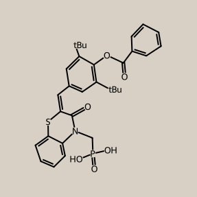 CC(C)(C)c1cc(C=C2Sc3ccccc3N(CP(=O)(O)O)C2=O)cc(C(C)(C)C)c1OC(=O)c1ccccc1